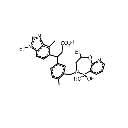 CCC1CN(Cc2cc(C(CC(=O)O)c3ccc4c(nnn4CC)c3C)ccc2C)S(O)(O)c2cccnc2O1